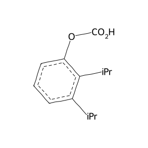 CC(C)c1cccc(OC(=O)O)c1C(C)C